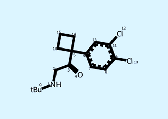 CC(C)(C)NCC(=O)C1(c2ccc(Cl)c(Cl)c2)CCC1